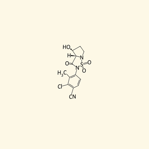 Cc1c(N2C(=O)[C@@H]3[C@@H](O)CCN3S2(=O)=O)ccc(C#N)c1Cl